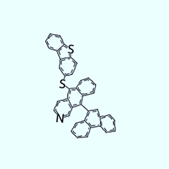 c1ccc2c(c1)cc(-c1c3ccccc3c(Sc3ccc4sc5ccccc5c4c3)c3ccncc13)c1ccccc12